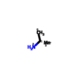 CCN.[Mn]